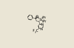 CC(C)[Si](C(C)C)(C(C)C)C(CC(=O)c1ccccc1)c1cc(C(F)(F)F)ncn1